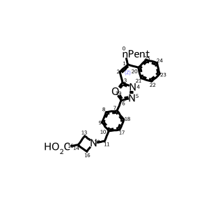 CCCCC/C(=C/c1nnc(-c2ccc(CN3CC(C(=O)O)C3)cc2)o1)c1ccccc1